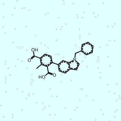 Cc1c(C(=O)O)ccc(-c2ccc3ccn(Cc4ccccc4)c3c2)c1C(=O)O